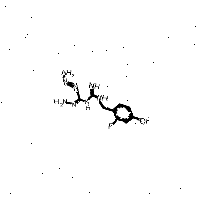 N=C(NCc1ccc(O)cc1F)NC(N=NN)=NN